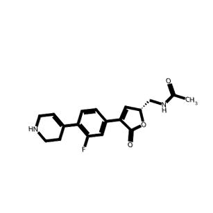 CC(=O)NC[C@H]1C=C(c2ccc(C3=CCNCC3)c(F)c2)C(=O)O1